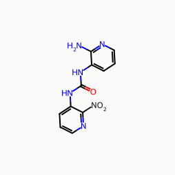 Nc1ncccc1NC(=O)Nc1cccnc1[N+](=O)[O-]